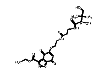 CCOC(=O)c1noc2c1C(=O)C(SCCNC(=O)CCNC(=O)[C@H](O)C(C)(C)CO)=CC2=O